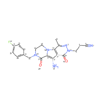 Cc1nn(CCC#N)c(=O)c2c(N)c3n(c12)CCN(Cc1ccc(F)cc1)C3=O